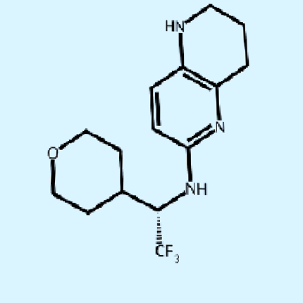 FC(F)(F)[C@@H](Nc1ccc2c(n1)CCCN2)C1CCOCC1